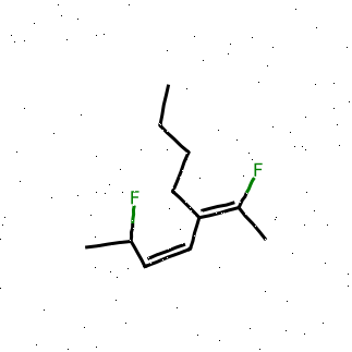 CCCCC(/C=C\C(C)F)=C(/C)F